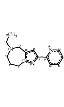 CCN1CCCn2nc(-c3ccccn3)cc2C1